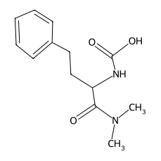 CN(C)C(=O)C(CCc1ccccc1)NC(=O)O